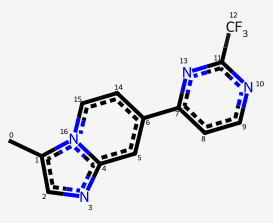 Cc1cnc2cc(-c3ccnc(C(F)(F)F)n3)ccn12